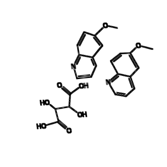 COc1ccc2ncccc2c1.COc1ccc2ncccc2c1.O=C(O)C(O)C(O)C(=O)O